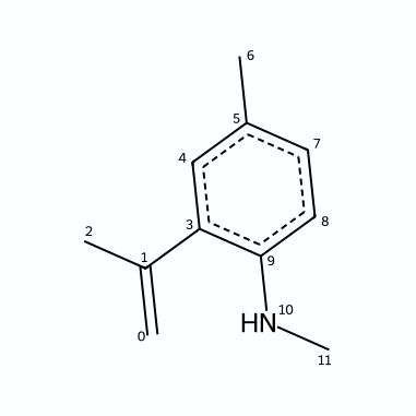 C=C(C)c1cc(C)ccc1NC